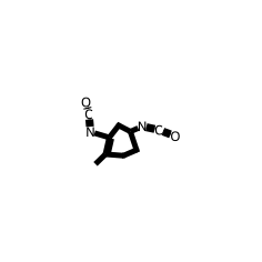 CC1=C(N=C=O)CC(N=C=O)CC1